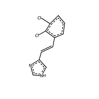 Clc1cccc(C=Cc2c[nH]cn2)c1Cl